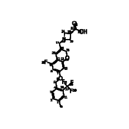 Cc1ccc(COc2cc(F)c3c(c2)OCC(CN2CC(C(=O)O)C2)=C3)c(C(F)(F)F)c1